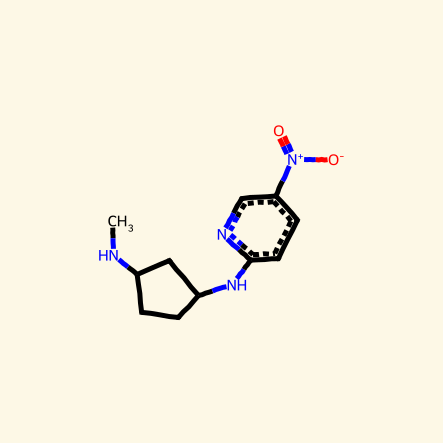 CNC1CCC(Nc2ccc([N+](=O)[O-])cn2)C1